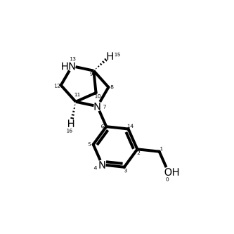 OCc1cncc(N2C[C@H]3C[C@@H]2CN3)c1